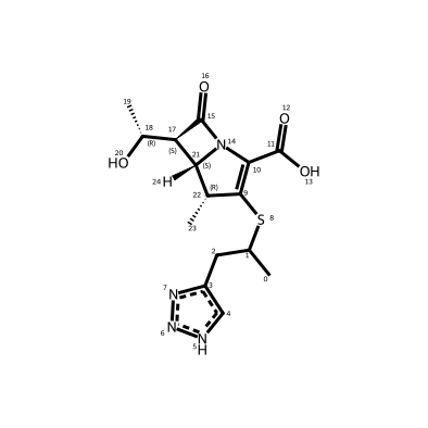 CC(Cc1c[nH]nn1)SC1=C(C(=O)O)N2C(=O)[C@H]([C@@H](C)O)[C@H]2[C@H]1C